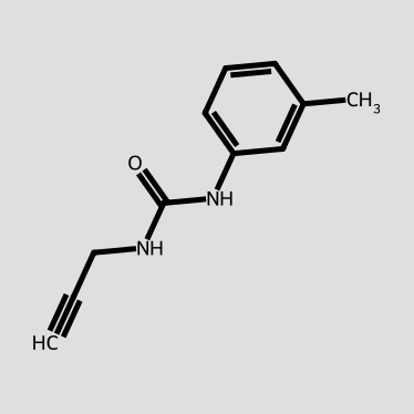 C#CCNC(=O)Nc1cccc(C)c1